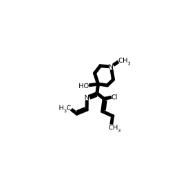 C\C=C/N=C(\C(Cl)=C\CC)C1(O)CCN(C)CC1